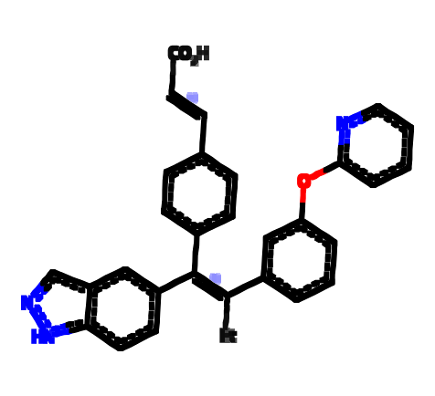 CC/C(=C(/c1ccc(/C=C/C(=O)O)cc1)c1ccc2[nH]ncc2c1)c1cccc(Oc2ccccn2)c1